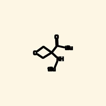 CC(C)(C)NC1(C(=O)C(C)(C)C)COC1